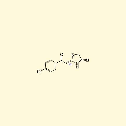 O=C1CS/C(=C\C(=O)c2ccc(Cl)cc2)N1